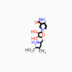 C[C@H](CC(=O)O)C[C@@H](N)[CH][C@H]1O[C@@H]([n+]2cccc(C(N)=O)c2)[C@H](O)[C@@H]1O